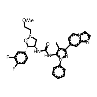 COCCN1C[C@@H](NC(=O)Nc2c(C)c(-c3ccn4ccnc4c3)nn2-c2ccccc2)[C@H](c2ccc(F)c(F)c2)O1